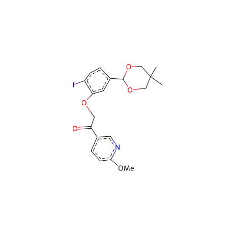 COc1ccc(C(=O)COc2cc(C3OCC(C)(C)CO3)ccc2I)cn1